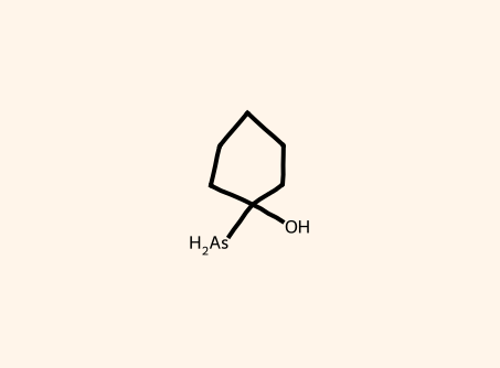 OC1([AsH2])CCCCC1